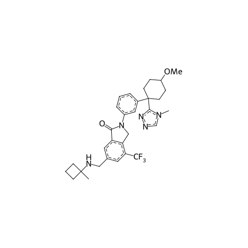 COC1CCC(c2cccc(N3Cc4c(cc(CNC5(C)CCC5)cc4C(F)(F)F)C3=O)c2)(c2nncn2C)CC1